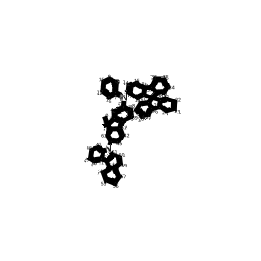 CC1(C)c2cc(N(c3ccccc3)c3ccc4c(c3)C3(c5ccccc5-c5ccccc53)c3ccccc3-4)ccc2-c2ccc(-n3c4ccccc4c4c5ccccc5ccc43)cc21